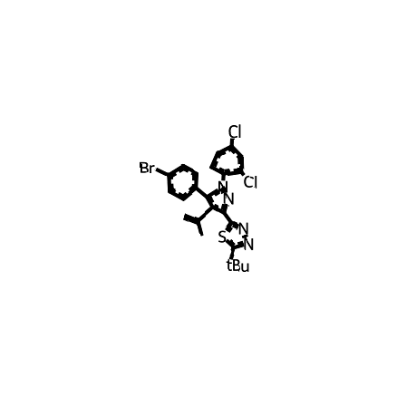 C=C(C)c1c(-c2nnc(C(C)(C)C)s2)nn(-c2ccc(Cl)cc2Cl)c1-c1ccc(Br)cc1